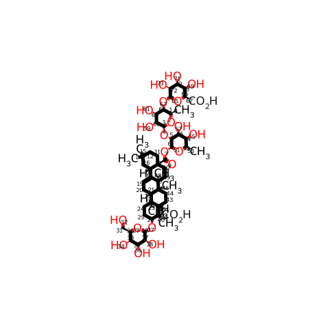 C[C@@H]1O[C@@H](O[C@H]2[C@H](OC(=O)[C@]34CCC(C)(C)C[C@H]3C3=CC[C@@H]5[C@@]6(C)CC[C@H](O[C@@H]7O[C@H](CO)[C@@H](O)[C@H](O)[C@H]7O)[C@@](C)(C(=O)O)[C@@H]6CC[C@@]5(C)[C@]3(C)CC4)O[C@H](C)[C@H](O)[C@@H]2O)[C@H](O)[C@H](O)[C@H]1O[C@@H]1O[C@H](C(=O)O)[C@@H](O)[C@H](O)[C@H]1O